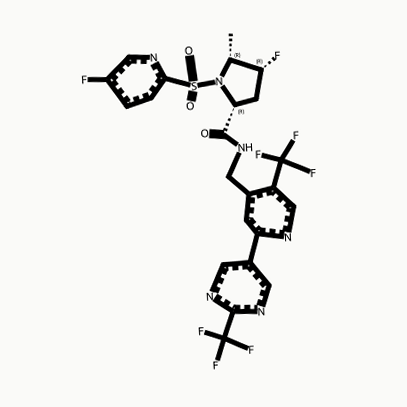 C[C@@H]1[C@H](F)C[C@H](C(=O)NCc2cc(-c3cnc(C(F)(F)F)nc3)ncc2C(F)(F)F)N1S(=O)(=O)c1ccc(F)cn1